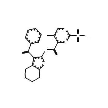 Cc1cnc(S(C)(=O)=O)nc1C(=O)Nc1sc2c(c1C(=O)c1ccccc1)CCCC2